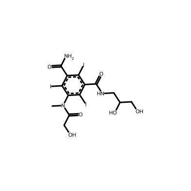 CN(C(=O)CO)c1c(I)c(C(N)=O)c(I)c(C(=O)NCC(O)CO)c1I